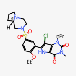 CCCn1c(=O)n(C)c(=O)c2[nH]c(-c3cc(S(=O)(=O)N4CCN5CCC[C@H]5C4)ccc3OCC)c(Cl)c21